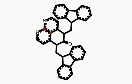 O=C(C(CC1c2ccccc2-c2ccccc21)c1ccncc1)C(CC1c2ccccc2-c2ccccc21)c1ccncc1